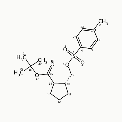 Cc1ccc(S(=O)(=O)OC[C@@H]2CCCC2C(=O)OC(C)(C)C)cc1